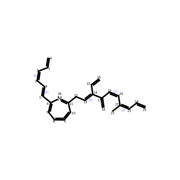 C=C/C=C\C=C\C1=CC=C=CC(C/C=C(\C=C)C(=C)/C=C\C(C)=C/C=C)=N1